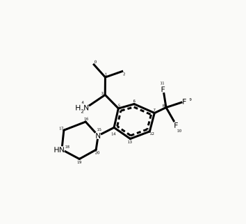 CC(C)C(N)c1cc(C(F)(F)F)ccc1N1CCNCC1